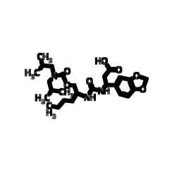 CCCCC(COC(=O)N(CC(C)C)CC(C)C)NC(=O)NC(CC(=O)O)c1ccc2c(c1)OCO2